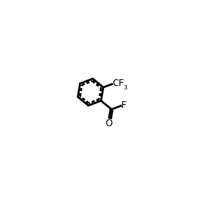 O=C(F)c1ccccc1C(F)(F)F